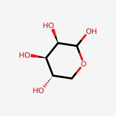 OC1OC[C@H](O)[C@@H](O)[C@H]1O